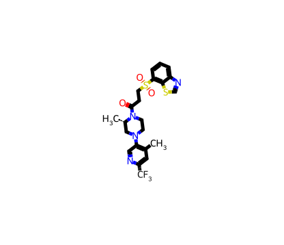 Cc1cc(C(F)(F)F)ncc1N1CCN(C(=O)CCS(=O)(=O)c2cccc3ncsc23)[C@@H](C)C1